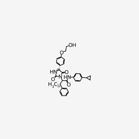 C[C@@H](c1ccccc1)C(C(=O)Nc1ccc(C2CC2)cc1)N1C(=O)N[C@H](c2ccc(OCCO)cc2)C1=O